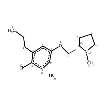 CCCc1cc(OC[C@@H]2CCCN2C)cnc1Cl.Cl